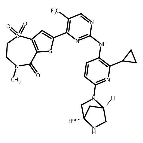 CN1CCS(=O)(=O)c2cc(-c3nc(Nc4ccc(N5C[C@H]6C[C@@H]5CN6)nc4C4CC4)ncc3C(F)(F)F)sc2C1=O